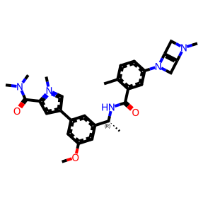 COc1cc(-c2cc(C(=O)N(C)C)n(C)c2)cc([C@@H](C)NC(=O)c2cc(N3CC4=C3CN4C)ccc2C)c1